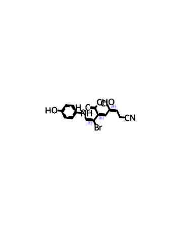 C=C(C=O)C(=C\C(Cl)=C/CC#N)/C(Br)=C\Nc1ccc(O)cc1